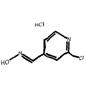 Cl.ON=Cc1ccnc(Cl)c1